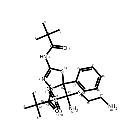 CC(C)(C)C(=O)NC1=NN(C(=O)C(C)(C)C)C(c2ccccc2)(C(N)(SCCN)S(C)(=O)=O)S1